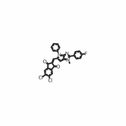 Cn1c(-c2ccc(F)cc2)nc2c1cc(C=C1C(=O)c3cc(Cl)c(Cl)cc3C1=O)n2-c1ccccc1